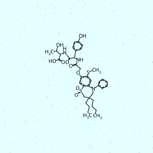 CCCCC1(CCCC)CN(c2ccccc2)c2cc(SC)c(OCC(=O)NC(C(=O)N[C@@H](C(=O)O)[C@@H](C)O)c3ccc(O)cc3)cc2S(=O)(=O)C1